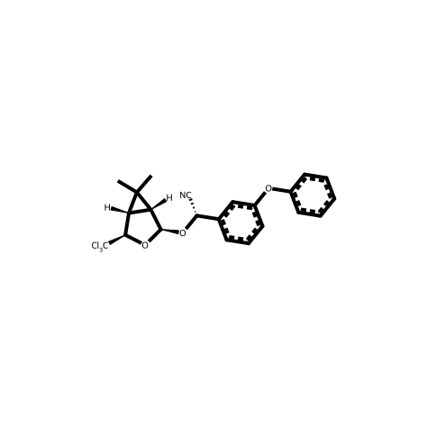 CC1(C)[C@@H]2[C@@H](O[C@H](C#N)c3cccc(Oc4ccccc4)c3)O[C@@H](C(Cl)(Cl)Cl)[C@@H]21